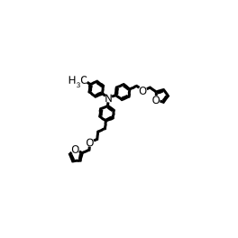 Cc1ccc(N(c2ccc(CCCOCc3ccco3)cc2)c2ccc(COCc3ccco3)cc2)cc1